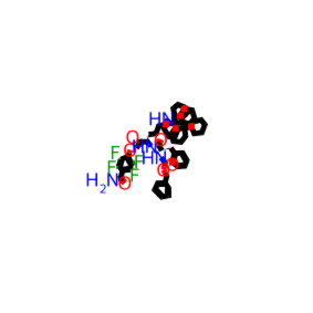 NC(=O)c1c(F)c(F)c(OCC(=O)[C@H](CCCCNC2(C3(C4(C5(C6CCCCC6)CCCCC5)CCCCC4)CCCCC3)CCCCC2)NC(=O)[C@H](Cc2ccccc2)NC(=O)OCc2ccccc2)c(F)c1F